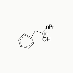 CCC[C@H](O)Cc1ccccc1